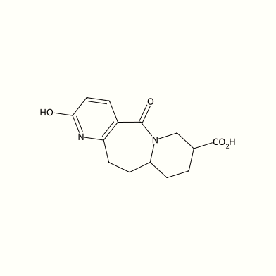 O=C(O)C1CCC2CCc3nc(O)ccc3C(=O)N2C1